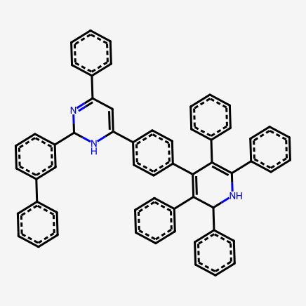 C1=C(c2ccc(C3=C(c4ccccc4)C(c4ccccc4)NC(c4ccccc4)=C3c3ccccc3)cc2)NC(c2cccc(-c3ccccc3)c2)N=C1c1ccccc1